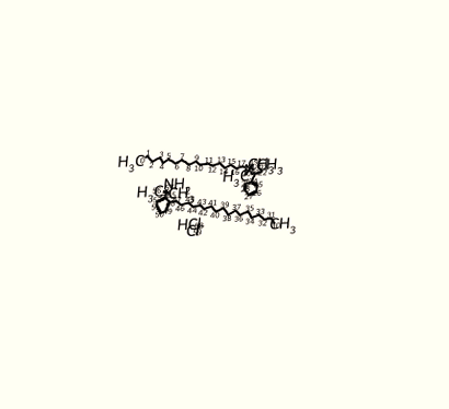 CCCCCCCCCCCCCCCCCC[N+](C)(C)C(CC)c1ccccc1.CCCCCCCCCCCCCCCCCCc1ccccc1C(C)(C)N.Cl.[Cl-]